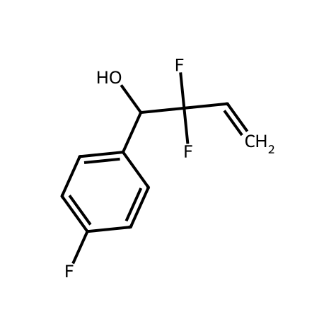 C=CC(F)(F)C(O)c1ccc(F)cc1